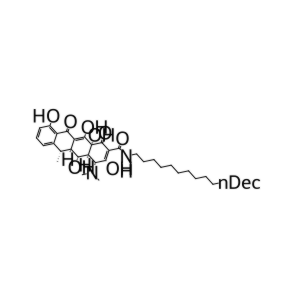 CCCCCCCCCCCCCCCCCCCCNC(=O)C1=C(O)[C@H](N(C)C)[C@H]2[C@H](O)[C@@H]3C(=C(O)[C@@]2(O)C1=O)C(=O)c1c(O)cccc1[C@H]3C